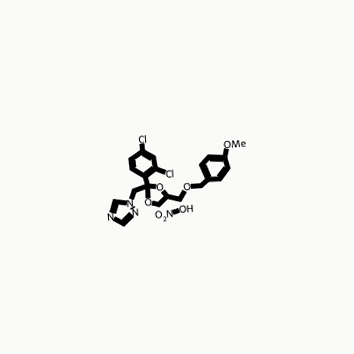 COc1ccc(COCC2COC(Cn3cncn3)(c3ccc(Cl)cc3Cl)O2)cc1.O=[N+]([O-])O